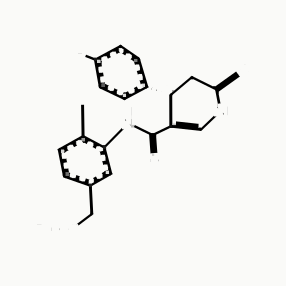 CCOC(=O)Cc1ccc(C)c(NC(=O)C2=CNC(=O)C[C@H]2c2ccc(F)cc2)c1